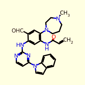 C=CC(=O)Nc1cc(Nc2nccc(-n3ccc4ccccc43)n2)c(C=O)cc1N1CCCN(C)CC1